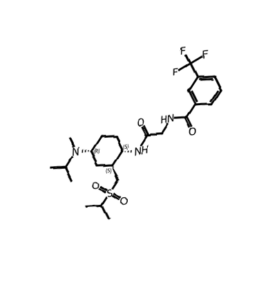 CC(C)N(C)[C@@H]1CC[C@H](NC(=O)CNC(=O)c2cccc(C(F)(F)F)c2)[C@@H](CS(=O)(=O)C(C)C)C1